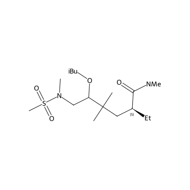 CCC(C)OC(CN(C)S(C)(=O)=O)C(C)(C)C[C@H](CC)C(=O)NC